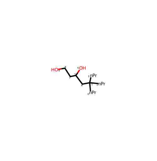 CCCC(CCC)(CCC)CC(O)CCO